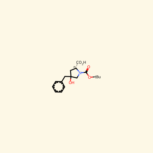 CC(C)(C)OC(=O)N1CC(O)(Cc2ccccc2)C[C@@H]1C(=O)O